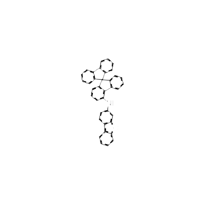 c1ccc2c(c1)-c1ccccc1C21c2ccccc2-c2c(Nc3ccc4c(c3)oc3ccccc34)cccc21